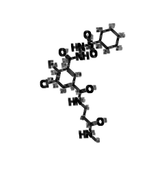 CNC(=O)CCNC(=O)c1cc(Cl)c(F)c(C(=O)NNS(=O)(=O)C2CCCCC2)c1